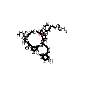 COCCN1CCN(C[C@@]2(O)CCC[C@H](C)[C@@H](C)S(=O)(=O)NC(=O)c3ccc4c(c3)N(CCCCc3cc(Cl)ccc3CO4)C[C@@H]3CC[C@H]32)CC1